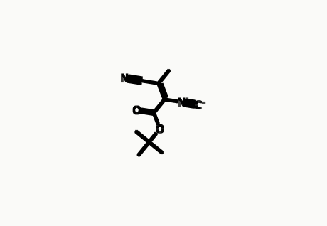 [C-]#[N+]/C(C(=O)OC(C)(C)C)=C(\C)C#N